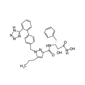 CCCc1cc(C(=O)N[C@H](Cc2ccccc2)[C@@H](O)C(=O)NO)nn1Cc1ccc(-c2ccccc2-c2nnn[nH]2)cc1